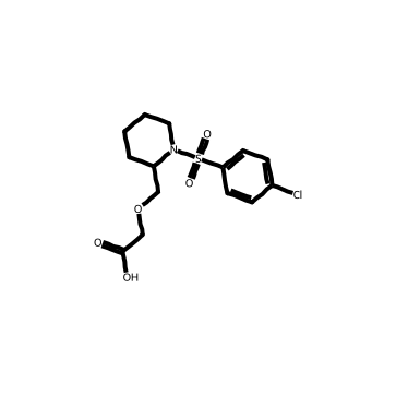 O=C(O)COCC1CCCCN1S(=O)(=O)c1ccc(Cl)cc1